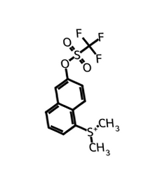 C[S+](C)c1cccc2cc(OS(=O)(=O)C(F)(F)F)ccc12